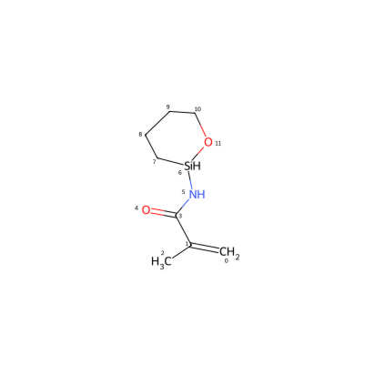 C=C(C)C(=O)N[SiH]1CCCCO1